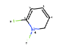 FC1=CC=CCN1F